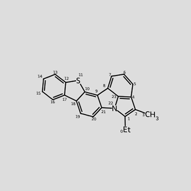 CCc1c(C)c2cccc3c4c5sc6ccccc6c5ccc4n1c23